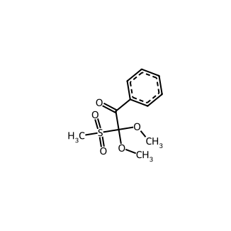 COC(OC)(C(=O)c1ccccc1)S(C)(=O)=O